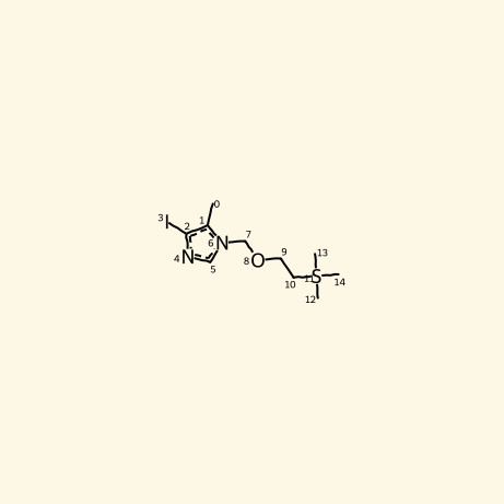 Cc1c(I)ncn1COCCS(C)(C)C